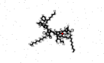 CCCCCCCCCCN1C(=O)c2c(C)sc(-c3cc4c(s3)-c3sc(-c5sc(-c6cc7c(s6)-c6sc(C)cc6[Si]7(CCCCCCCC)C6CCCCC6)c6c5C(=O)N(CCCCCCCCCC)C6=O)cc3[Si]4(CC(CC)CCCC)CC(CC)CCCC)c2C1=O